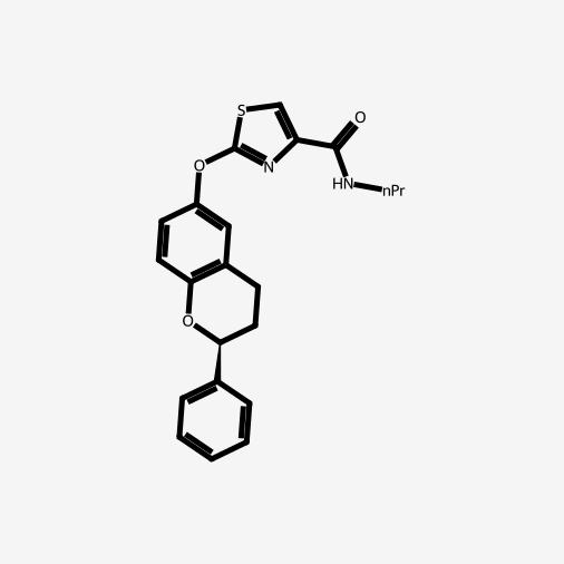 CCCNC(=O)c1csc(Oc2ccc3c(c2)CC[C@@H](c2ccccc2)O3)n1